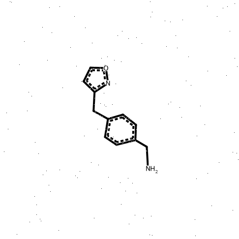 NCc1ccc(Cc2[c]con2)cc1